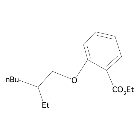 CCCCC(CC)COc1ccccc1C(=O)OCC